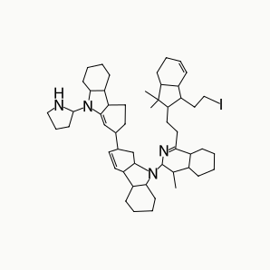 CC1C2CCCCC2C(CCC2C(CCI)C3C=CCCC3C2(C)C)=NC1N1C2CC(C3C=C4C(CC3)C3CCCCC3N4C3CCCN3)C=CC2C2CCCCC21